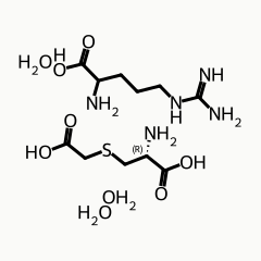 N=C(N)NCCCC(N)C(=O)O.N[C@@H](CSCC(=O)O)C(=O)O.O.O.O